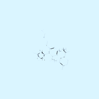 C=C(C)C1CCC(C)=CC1C1=C(O)C=C(CCCCC)C(c2noc(C)n2)C1O